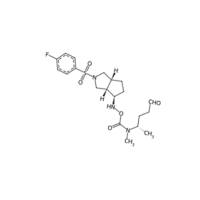 C[C@@H](CCC=O)N(C)C(=O)ON[C@@H]1CC[C@H]2CN(S(=O)(=O)c3ccc(F)cc3)C[C@H]21